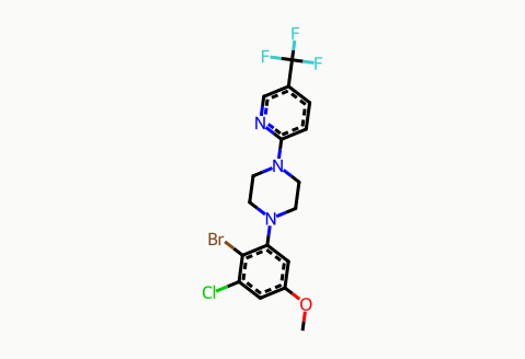 COc1cc(Cl)c(Br)c(N2CCN(c3ccc(C(F)(F)F)cn3)CC2)c1